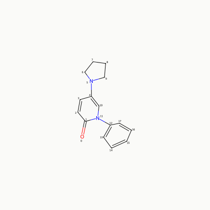 O=c1ccc(N2CCCC2)cn1-c1ccccc1